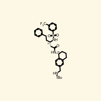 CC(C)(C)NCc1ccc2c(c1)CCC[C@H]2NC(=O)C[C@H](CCc1ccccc1)NS(=O)(=O)c1cccc(C(F)(F)F)c1